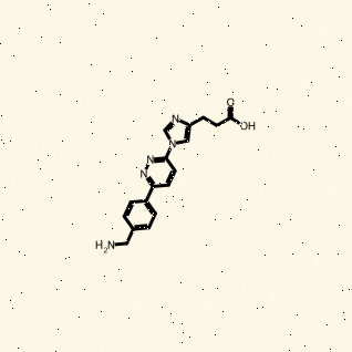 NCc1ccc(-c2ccc(-n3cnc(CCC(=O)O)c3)nn2)cc1